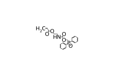 C=CC(=O)OCCNC(=O)OCP(=O)(c1ccccc1)c1ccccc1